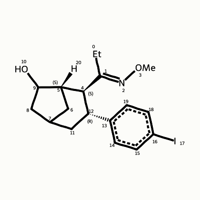 CCC(=NOC)[C@@H]1[C@@H]2CC(CC2O)C[C@H]1c1ccc(I)cc1